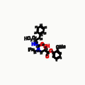 COc1ccccc1OC(=O)[C@@H](O)CN(CC(C)C)C(=O)N[C@@H](Cc1ccccc1)C(=O)O